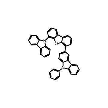 c1ccc(-n2c3ccccc3c3cc(-c4cccc5c4oc4c(-n6c7ccccc7c7ccccc76)cccc45)ccc32)cc1